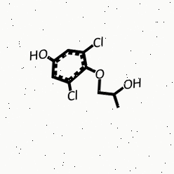 CC(O)COc1c(Cl)cc(O)cc1Cl